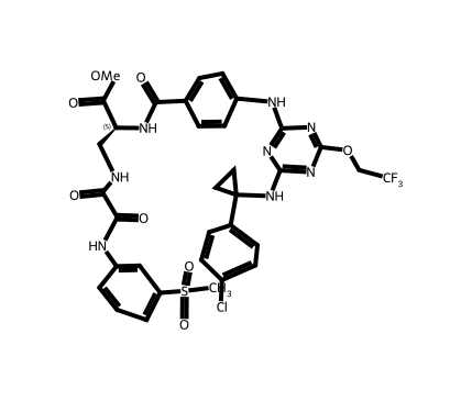 COC(=O)[C@H](CNC(=O)C(=O)Nc1cccc(S(C)(=O)=O)c1)NC(=O)c1ccc(Nc2nc(NC3(c4ccc(Cl)cc4)CC3)nc(OCC(F)(F)F)n2)cc1